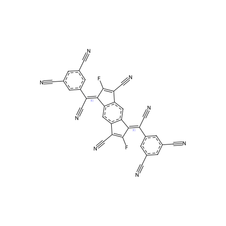 N#CC1=C(F)/C(=C(/C#N)c2cc(C#N)cc(C#N)c2)c2cc3c(cc21)/C(=C(\C#N)c1cc(C#N)cc(C#N)c1)C(F)=C3C#N